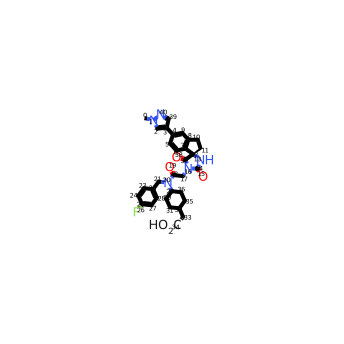 Cn1cc(-c2ccc3c(c2)CC[C@]32NC(=O)N(CC(=O)N(Cc3ccc(F)cc3)C3CCC(CC(=O)O)CC3)C2=O)cn1